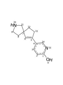 Oc1ccc(C2=CC3(CCNC3)CC2)cn1